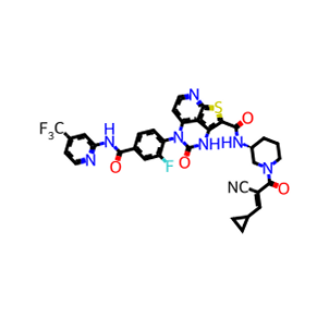 N#C/C(=C\C1CC1)C(=O)N1CCC[C@H](NC(=O)c2sc3nccc4c3c2NC(=O)N4c2ccc(C(=O)Nc3cc(C(F)(F)F)ccn3)cc2F)C1